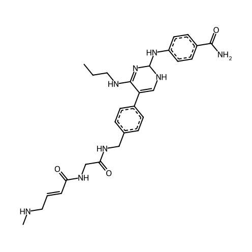 CCCNC1=NC(Nc2ccc(C(N)=O)cc2)NC=C1c1ccc(CNC(=O)CNC(=O)/C=C/CNC)cc1